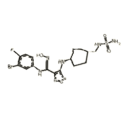 NS(=O)(=O)NC[C@H]1CC[C@H](Nc2nonc2C(=NO)Nc2ccc(F)c(Br)c2)CC1